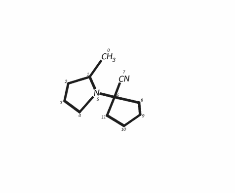 CC1CCCN1C1(C#N)CCCC1